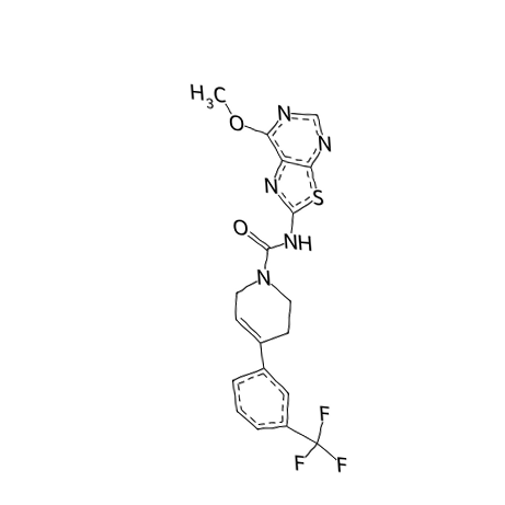 COc1ncnc2sc(NC(=O)N3CC=C(c4cccc(C(F)(F)F)c4)CC3)nc12